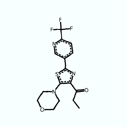 CCC(=O)c1nc(-c2ccc(C(F)(F)F)nc2)sc1N1CCOCC1